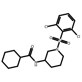 O=C(NC1CCCN(S(=O)(=O)c2c(Cl)cccc2Cl)C1)C1CCCCC1